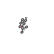 C=C(C)c1ccc2c(c1)C1(c3ccccc3-c3ccc(-c4cccc(-c5cc(-c6ccccc6)nc(-c6ccccc6)n5)c4)cc31)c1cc(C(C)(C)C)ccc1-2